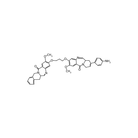 COc1cc2c(cc1OCCCOc1cc3c(cc1OC)C(=O)N1Cc4ccccc4CC1C=N3)N=CC1CC(c3ccc(N)cc3)=CCN1C2=O